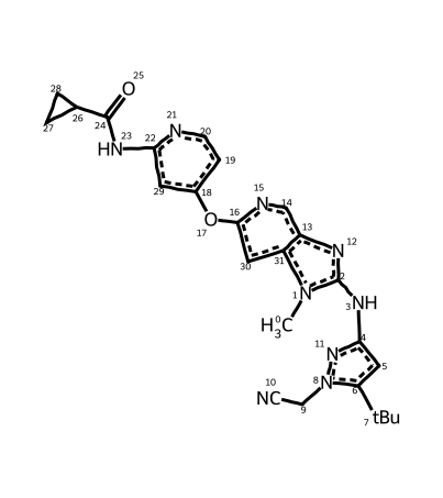 Cn1c(Nc2cc(C(C)(C)C)n(CC#N)n2)nc2cnc(Oc3ccnc(NC(=O)C4CC4)c3)cc21